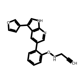 C#CCNOc1ccccc1-c1cnc2[nH]cc(-c3ccoc3)c2c1